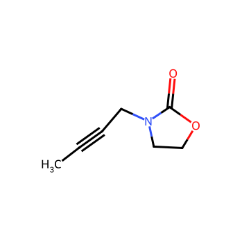 CC#CCN1CCOC1=O